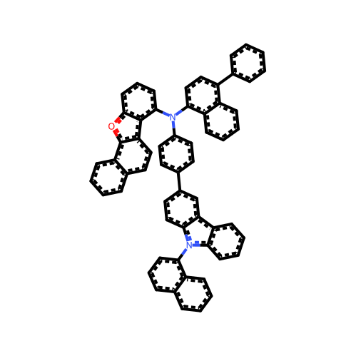 c1ccc(-c2ccc(N(c3ccc(-c4ccc5c(c4)c4ccccc4n5-c4cccc5ccccc45)cc3)c3cccc4oc5c6ccccc6ccc5c34)c3ccccc23)cc1